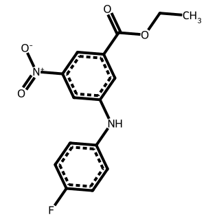 CCOC(=O)c1cc(Nc2ccc(F)cc2)cc([N+](=O)[O-])c1